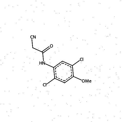 COc1cc(Cl)c(NC(=O)CC#N)cc1Cl